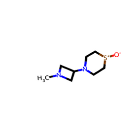 CN1CC(N2CC[S+]([O-])CC2)C1